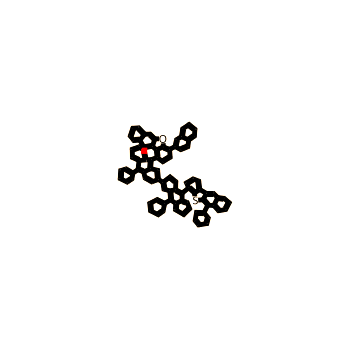 c1ccc(-c2c3ccccc3c(-c3cccc4c3sc3c(-c5ccccc5)c5ccccc5cc34)c3ccc(-c4ccc5c(-c6ccccc6)c6ccccc6c(-c6ccc(-c7ccc8ccccc8c7)c7oc8cc9ccccc9cc8c67)c5c4)cc23)cc1